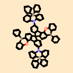 c1ccc(B2c3ccccc3Oc3c2ccc2c3-c3cc(N4c5ccccc5[Si](c5ccccc5)(c5ccccc5)c5ccccc54)ccc3C23c2ccc(N4c5ccccc5[Si](c5ccccc5)(c5ccccc5)c5ccccc54)cc2-c2c3ccc3c2Oc2ccccc2B3c2ccccc2)cc1